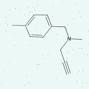 C#CCN(C)Cc1ccc(C)cc1